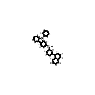 c1ccc(-n2c3ccccc3c3ccc(Nc4cccc(-c5cccc6ccccc56)c4)cc32)cc1